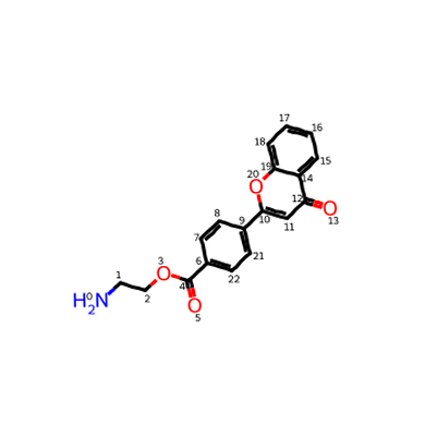 NCCOC(=O)c1ccc(-c2cc(=O)c3ccccc3o2)cc1